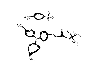 Cc1ccc(S(=O)(=O)[O-])cc1.Cc1ccc([S+](c2ccc(C)cc2)c2ccc(OCC(=O)OC(C)(C)C)cc2)cc1